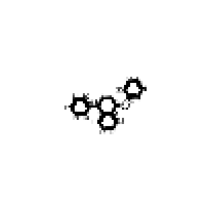 [c]1ccc(OC2CCC(c3ccccc3)c3ccccc32)cc1